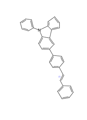 C(=C\c1ccc(-c2ccc3c(c2)c2ccccc2n3-c2ccccc2)cc1)/c1ccccc1